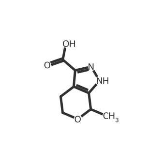 CC1OCCc2c(C(=O)O)n[nH]c21